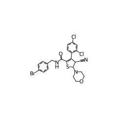 N#CC1C(c2ccc(Cl)cc2Cl)=C(C(=O)NCc2ccc(Br)cc2)SC1N1CCOCC1